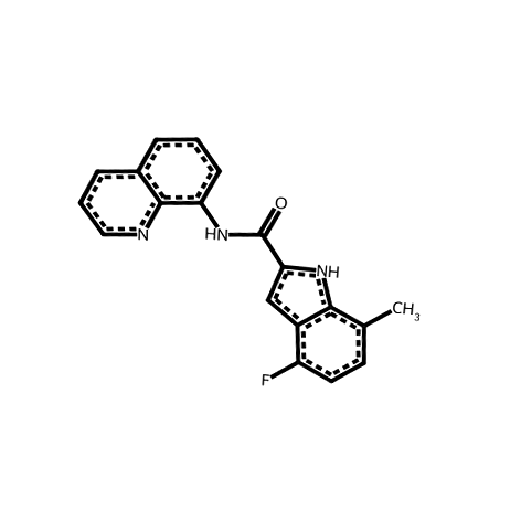 Cc1ccc(F)c2cc(C(=O)Nc3cccc4cccnc34)[nH]c12